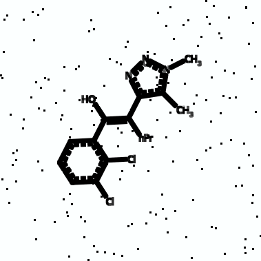 CCC/C(=C(/O)c1cccc(Cl)c1Cl)c1nnn(C)c1C